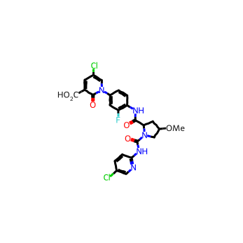 COC1CC(C(=O)Nc2ccc(-n3cc(Cl)cc(C(=O)O)c3=O)cc2F)N(C(=O)Nc2ccc(Cl)cn2)C1